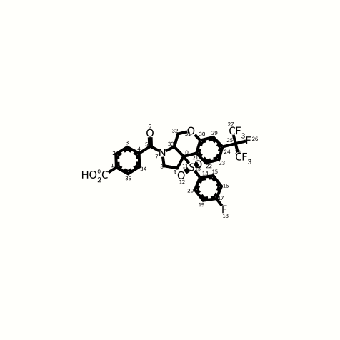 O=C(O)c1ccc(C(=O)N2CCC3(S(=O)(=O)c4ccc(F)cc4)c4ccc(C(F)(C(F)(F)F)C(F)(F)F)cc4OCC23)cc1